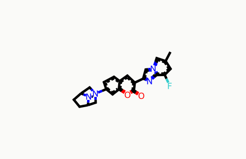 Cc1cc(F)c2nc(-c3cc4ccc(N5CC6CCC(C5)N6C)cc4oc3=O)cn2c1